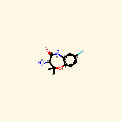 CC1(C)Oc2ccc(F)cc2NC(=O)C1N